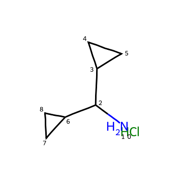 Cl.NC(C1CC1)C1CC1